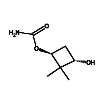 CC1(C)[C@@H](OC(N)=O)C[C@@H]1O